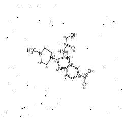 CN1CCN(c2nc3ccc([N+](=O)[O-])cc3nc2NC(=O)CO)CC1